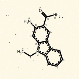 CCn1c2ccccc2c2cc(C(N)=O)c(N)cc21